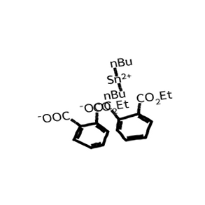 CCC[CH2][Sn+2][CH2]CCC.CCOC(=O)c1ccccc1C(=O)[O-].CCOC(=O)c1ccccc1C(=O)[O-]